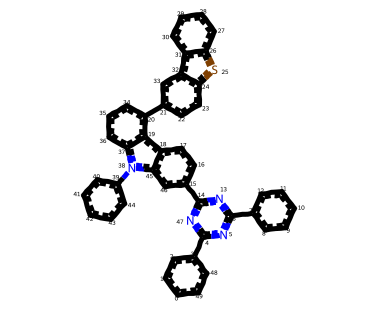 c1ccc(-c2nc(-c3ccccc3)nc(-c3ccc4c5c(-c6ccc7sc8ccccc8c7c6)cccc5n(-c5ccccc5)c4c3)n2)cc1